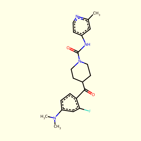 Cc1cc(NC(=O)N2CCC(C(=O)c3ccc(N(C)C)cc3F)CC2)ccn1